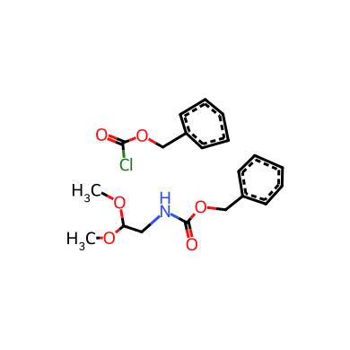 COC(CNC(=O)OCc1ccccc1)OC.O=C(Cl)OCc1ccccc1